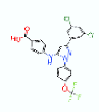 O=C(O)c1ccc(Nc2cc(-c3cc(Cl)cc(Cl)c3)nn2-c2ccc(OC(F)(F)F)cc2)cc1